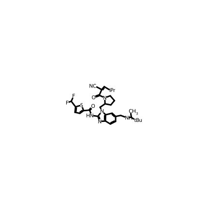 CC(C)C=C(C#N)C(=O)N1CCCC1Cn1c(NC(=O)c2ccc(C(F)F)s2)nc2ccc(CNC(C)C(C)(C)C)cc21